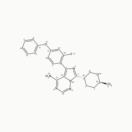 C[C@H]1CC[C@H](c2nc(-c3ccc(Oc4ccccc4)cc3F)c3c(N)ncnn23)CO1